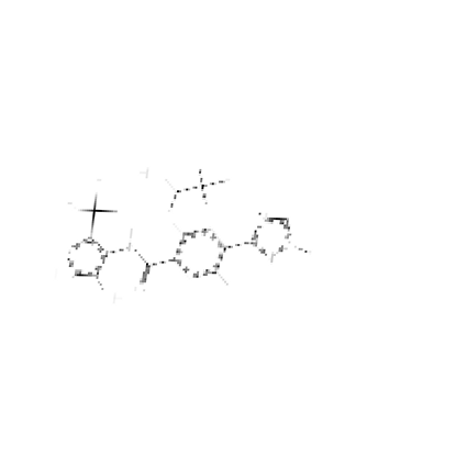 Cc1[nH]nc(C(F)(F)F)c1NC(=O)c1cc(F)c(-c2ncn(C)n2)cc1OC(C)C(F)(F)F